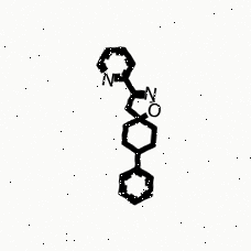 c1ccc(C2CCC3(CC2)CC(c2ccccn2)=NO3)cc1